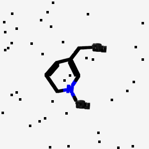 CC(C)(C)CC1=CN(C(C)(C)C)CC=C1